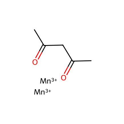 CC(=O)CC(C)=O.[Mn+3].[Mn+3]